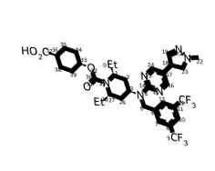 CC[C@@H]1C[C@H](N(Cc2cc(C(F)(F)F)cc(C(F)(F)F)c2)c2ncc(C3C=NN(C)C3)cn2)C[C@H](CC)N1C(=O)O[C@H]1CC[C@H](C(=O)O)CC1